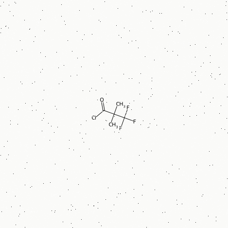 CC(C)(C(=O)Cl)C(F)(F)F